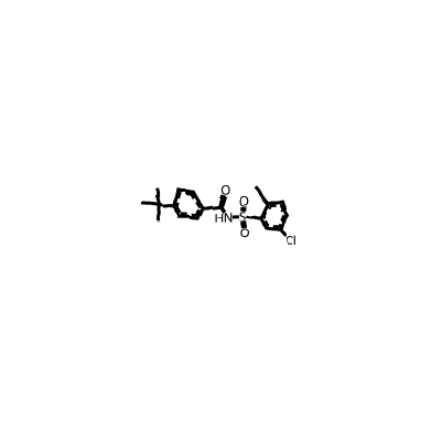 Cc1ccc(Cl)cc1S(=O)(=O)NC(=O)c1ccc(C(C)(C)C)cc1